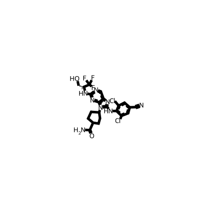 N#Cc1cc(Cl)c(Nc2nc3cnc(N[C@H](CO)C(F)(F)F)nc3n2C2CCC(C(N)=O)CC2)c(Cl)c1